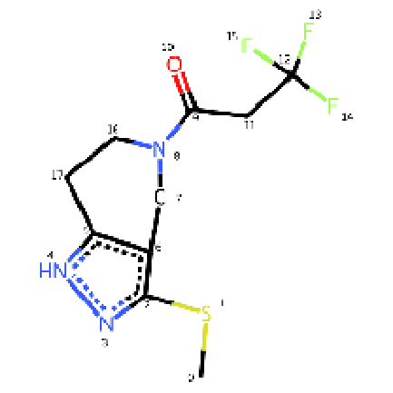 CSc1n[nH]c2c1CN(C(=O)CC(F)(F)F)CC2